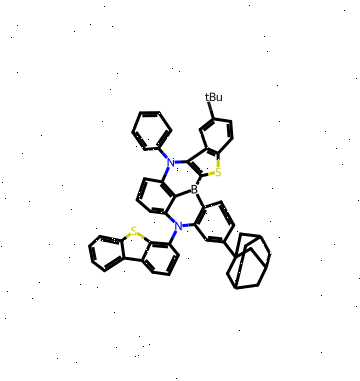 CC(C)(C)c1ccc2sc3c(c2c1)N(c1ccccc1)c1cccc2c1B3c1ccc(C34CC5CC(CC(C5)C3)C4)cc1N2c1cccc2c1sc1ccccc12